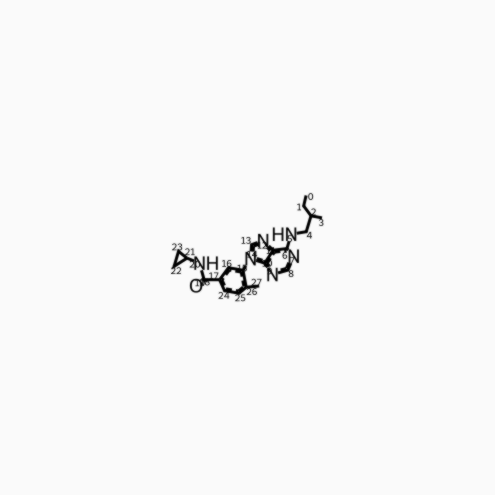 CCC(C)CNc1ncnc2c1ncn2-c1cc(C(=O)NC2CC2)ccc1C